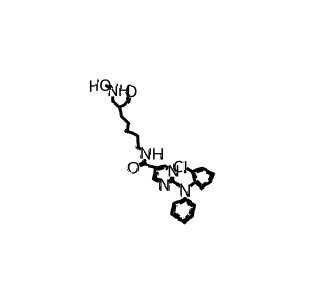 O=CC(CCCCCNC(=O)c1cnc(N(c2ccccc2)c2ccccc2Cl)nc1)CNO